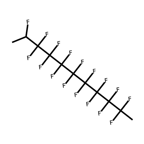 CC(F)C(F)(F)C(F)(F)C(F)(F)C(F)(F)C(F)(F)C(F)(F)C(F)(F)C(C)(F)F